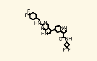 O=C(NC1CC(F)(F)C1)c1cnn2ccc(-c3c[nH]c4nc(NCC5CCC(F)(F)CC5)ncc34)cc12